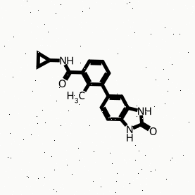 Cc1c(C(=O)NC2CC2)cccc1-c1ccc2[nH]c(=O)[nH]c2c1